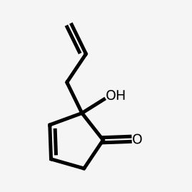 C=CCC1(O)C=CCC1=O